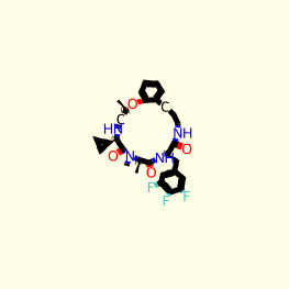 C[C@@H]1CN[C@@H](C2CC2)C(=O)N(C)[C@H](C)C(=O)N[C@H](Cc2cc(F)c(F)c(F)c2)C(=O)NCCCc2ccccc2O1